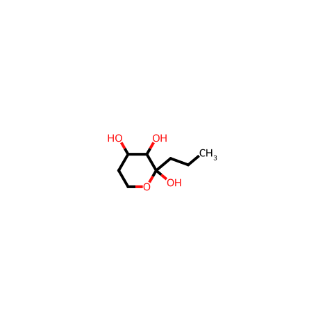 CCCC1(O)OCCC(O)C1O